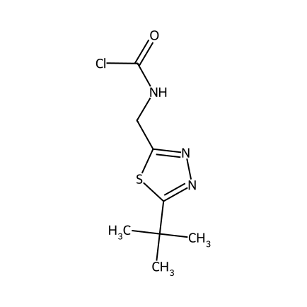 CC(C)(C)c1nnc(CNC(=O)Cl)s1